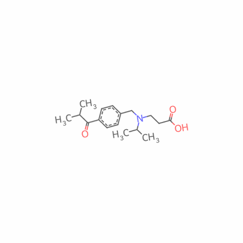 CC(C)C(=O)c1ccc(CN(CCC(=O)O)C(C)C)cc1